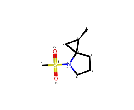 C[C@@H]1CC12CCCN2S(C)(=O)=O